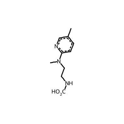 Cc1ccc(N(C)CCNC(=O)O)nc1